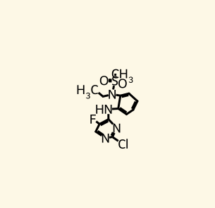 CCN(c1ccccc1Nc1nc(Cl)ncc1F)S(C)(=O)=O